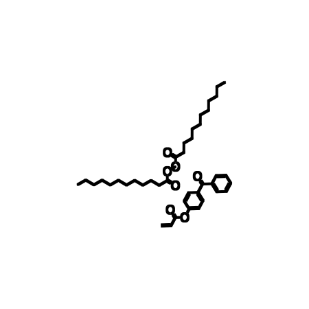 C=CC(=O)Oc1ccc(C(=O)c2ccccc2)cc1.CCCCCCCCCCCC(=O)OOC(=O)CCCCCCCCCCC